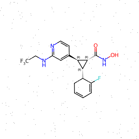 O=C(NO)[C@H]1[C@H](c2ccnc(NCC(F)(F)F)c2)[C@H]1C1CC=CC=C1F